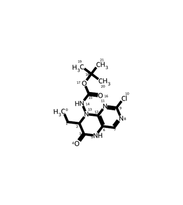 CCC1C(=O)Nc2cnc(Cl)nc2N1NC(=O)OC(C)(C)C